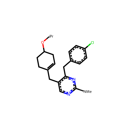 CNc1ncc(CC2=CCC(OC(C)C)CC2)c(Cc2ccc(Cl)cc2)n1